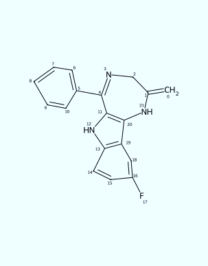 C=C1CN=C(c2ccccc2)c2[nH]c3ccc(F)cc3c2N1